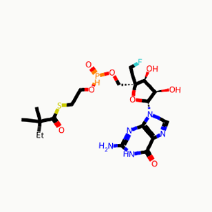 CCC(C)(C)C(=O)SCCO[PH](=O)OC[C@@]1(CF)O[C@@H](n2cnc3c(=O)[nH]c(N)nc32)[C@H](O)[C@@H]1O